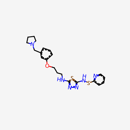 c1ccc(SNc2nnc(NCCCOc3cccc(CN4CCCC4)c3)s2)nc1